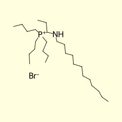 CCCCCCCCCCCCNC(CC)[P+](CCCC)(CCCC)CCCC.[Br-]